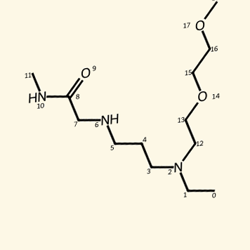 CCN(CCCNCC(=O)NC)CCOCCOC